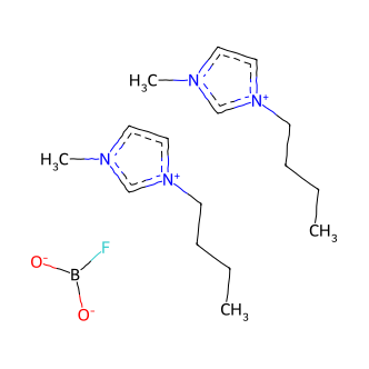 CCCC[n+]1ccn(C)c1.CCCC[n+]1ccn(C)c1.[O-]B([O-])F